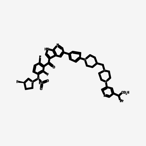 CC(C)C(C(=O)O)c1cncc(N2CCN(CC3CCN(c4ccc(-c5cnc6[nH]cc(C(=O)c7c(F)ccc(N(N8CC[C@@H](F)C8)[SH](=O)=O)c7F)c6c5)cc4)CC3)CC2)c1